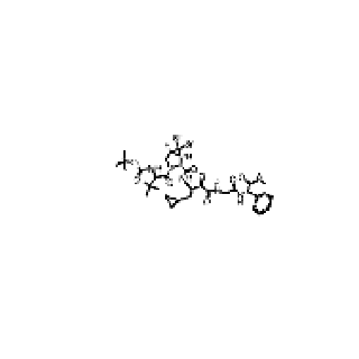 CN(C)C(=O)[C@@H](NC(=O)CNC(=O)C(=O)C(CC1CC1)NC(=O)[C@@H]1[C@@H]2[C@H](CN1C(=O)C(NC(=O)OC(C)(C)C)C(C)(C)C)C2(Br)Br)c1ccccc1